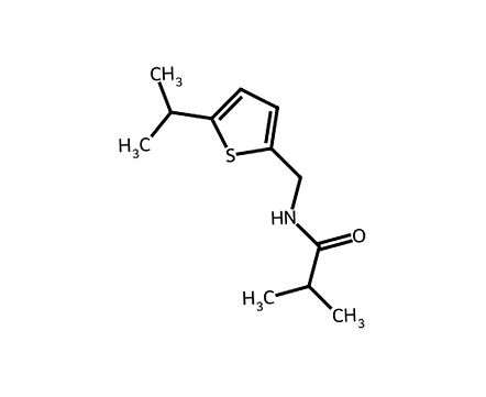 CC(C)C(=O)NCc1ccc(C(C)C)s1